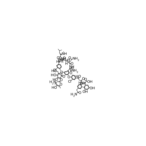 CN[C@H](CC(C)C)C(=O)N[C@H]1C(=O)N[C@@H](CC(N)=O)C(=O)N[C@@H](C(N)=O)c2cc(c(O[C@@H]3O[C@H](CO)[C@@H](O)[C@H](O)[C@H]3O[C@H]3C[C@](C)(N)[C@H](O)[C@H](C)O3)c(Oc3ccc([C@@H](O)CC(=O)N[C@H](C(=O)O)c4cc(O)cc(O)c4-c4cc(CC(N)=O)ccc4O)cc3Cl)c2)Oc2ccc(cc2Cl)[C@H]1O